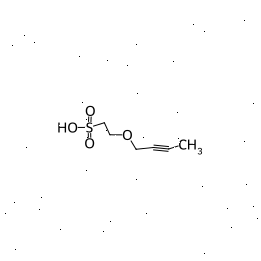 CC#CCOCCS(=O)(=O)O